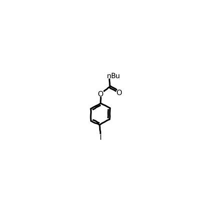 CCCCC(=O)Oc1ccc(I)cc1